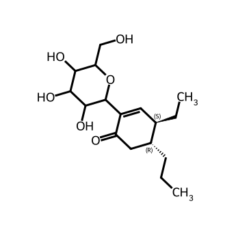 CCC[C@@H]1CC(=O)C(C2OC(CO)C(O)C(O)C2O)=C[C@H]1CC